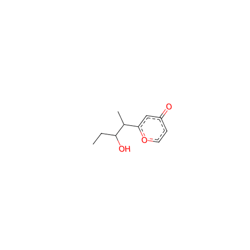 CCC(O)C(C)c1cc(=O)cco1